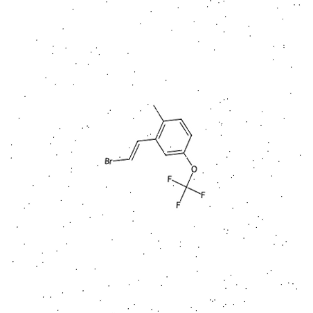 Cc1ccc(OC(F)(F)F)cc1C=CBr